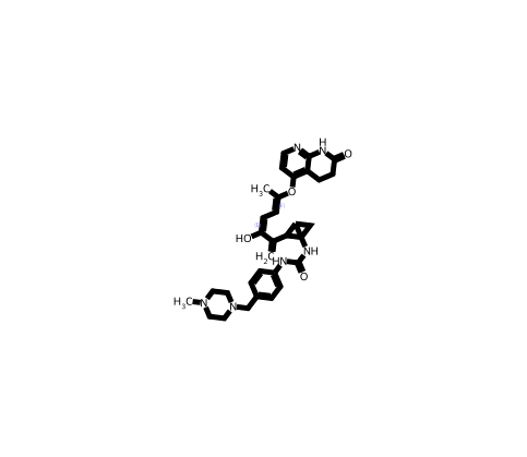 C=C(/C(O)=C\C=C(/C)Oc1ccnc2c1CCC(=O)N2)C1C2CC21NC(=O)Nc1ccc(CN2CCN(C)CC2)cc1